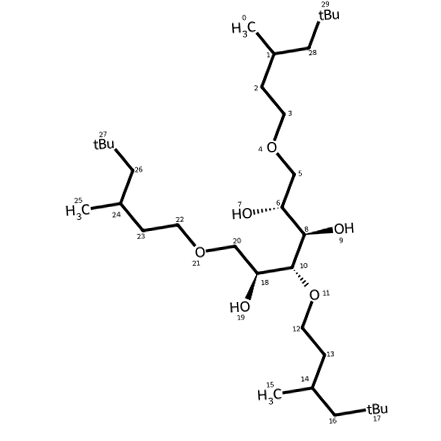 CC(CCOC[C@@H](O)[C@@H](O)[C@H](OCCC(C)CC(C)(C)C)[C@@H](O)COCCC(C)CC(C)(C)C)CC(C)(C)C